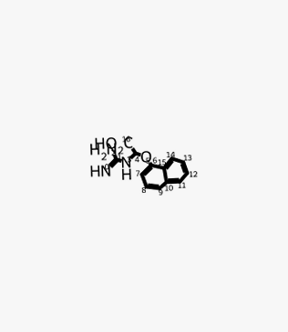 N=C(N)NC(Oc1cccc2ccccc12)C(=O)O